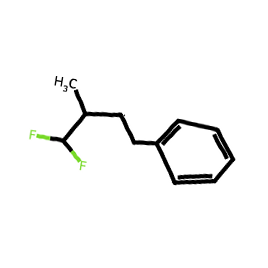 CC([CH]Cc1ccccc1)C(F)F